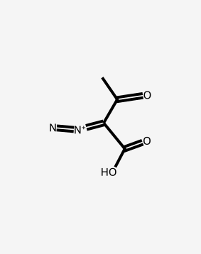 CC(=O)C(=[N+]=[N-])C(=O)O